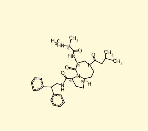 CN[C@@H](C)C(=O)N[C@H]1CN(C(=O)CC(C)C)CC[C@H]2CC[C@@H](C(=O)NCC(c3ccccc3)c3ccccc3)N2C1=O